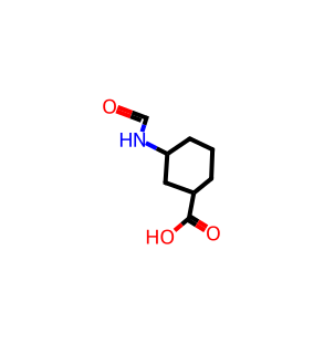 O=CNC1CCCC(C(=O)O)C1